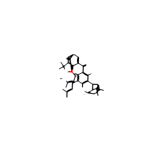 CC(C)=CCc1c2c(c(O)c3c1O[C@]1(C)CCC4C3C1C4(C)C)C(=O)C1=CC3CC4C(C)(C)OC(C/C=C(/C)OC=O)(C3=O)[C@@]14O2